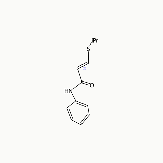 CC(C)S/C=C/C(=O)Nc1ccccc1